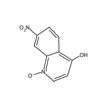 O=[N+]([O-])c1ccc2c(O)cc[n+]([O-])c2c1